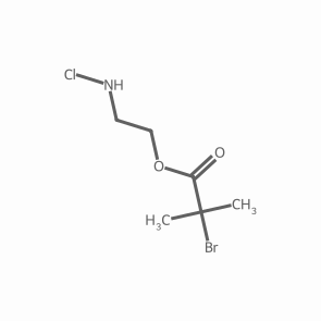 CC(C)(Br)C(=O)OCCNCl